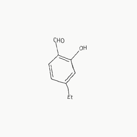 CCc1ccc(C=O)c(O)c1